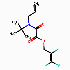 C=CCN(C(=O)C(=O)OCC(F)=C(F)F)C(C)(C)C